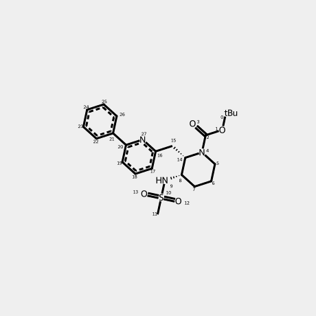 CC(C)(C)OC(=O)N1CCC[C@H](NS(C)(=O)=O)[C@@H]1Cc1cccc(-c2ccccc2)n1